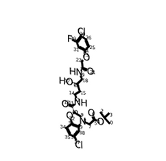 CC(C)(C)OC(=O)CN1C[C@@H](C(=O)NCC[C@H](O)CNC(=O)COc2ccc(Cl)c(F)c2)Oc2ccc(Cl)cc21